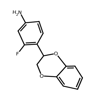 Nc1ccc(C2COc3ccccc3O2)c(F)c1